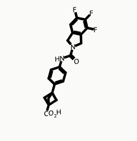 O=C(Nc1ccc(C23CC(C(=O)O)(C2)C3)cc1)N1Cc2cc(F)c(F)c(F)c2C1